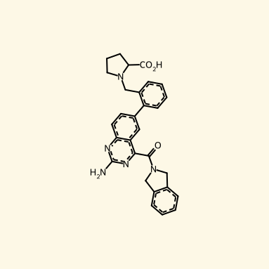 Nc1nc(C(=O)N2Cc3ccccc3C2)c2cc(-c3ccccc3CN3CCCC3C(=O)O)ccc2n1